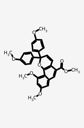 COC(=O)c1cc2cc(OC)cc(OC)c2c2c1C=CC(c1ccc(OC)cc1)(c1ccc(OC)cc1)O2